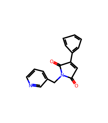 O=C1C=C(c2ccccc2)C(=O)N1Cc1cccnc1